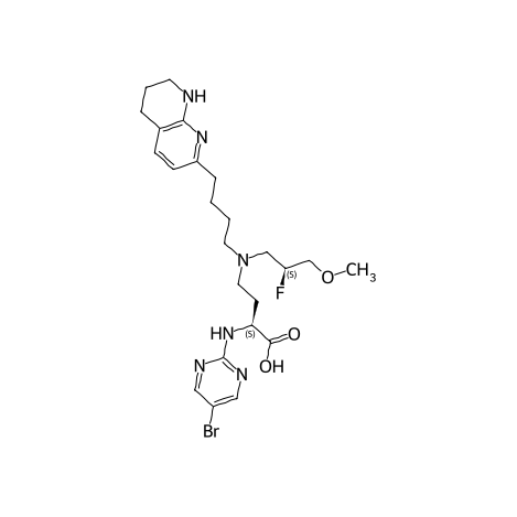 COC[C@@H](F)CN(CCCCc1ccc2c(n1)NCCC2)CC[C@H](Nc1ncc(Br)cn1)C(=O)O